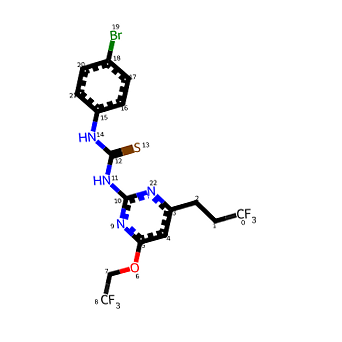 FC(F)(F)CCc1cc(OCC(F)(F)F)nc(NC(=S)Nc2ccc(Br)cc2)n1